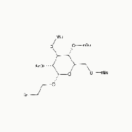 CCCCOCC1O[C@H](OCCBr)[C@H](OC(C)=O)C(OCCCC)[C@@H]1OCCCC